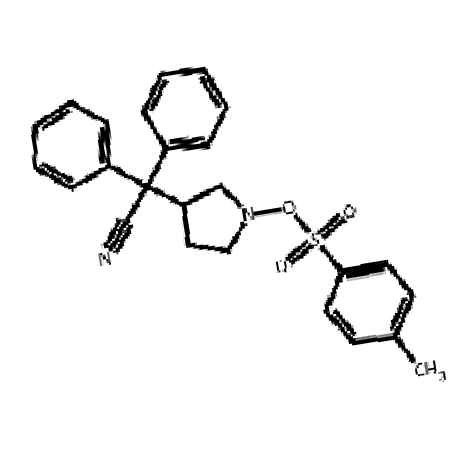 Cc1ccc(S(=O)(=O)ON2CCC(C(C#N)(c3ccccc3)c3ccccc3)C2)cc1